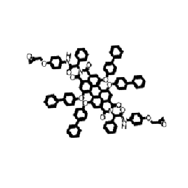 O=C(Nc1ccc(OCC2CO2)cc1)C(c1ccccc1)N1C(=O)c2cc(Oc3ccc(-c4ccccc4)cc3)c3c4c(Oc5ccc(-c6ccccc6)cc5)cc5c6c(cc(Oc7ccc(-c8ccccc8)cc7)c(c7c(Oc8ccc(-c9ccccc9)cc8)cc(c2c37)C1=O)c64)C(=O)N(C(C(=O)Nc1ccc(OCC2CO2)cc1)c1ccccc1)C5=O